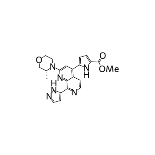 COC(=O)c1ccc(-c2cc(N3CCOC[C@H]3C)nc3c(-c4ccn[nH]4)nccc23)[nH]1